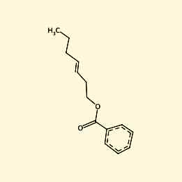 CCCC=CCCOC(=O)c1ccccc1